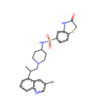 CCc1cnc2cccc(C(C)CN3CCC(NS(=O)(=O)c4ccc5c(c4)NC(=O)CS5)CC3)c2c1